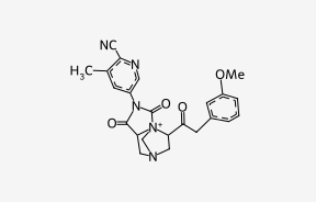 COc1cccc(CC(=O)C2CN3CC4C(=O)N(c5cnc(C#N)c(C)c5)C(=O)[N+]24C3)c1